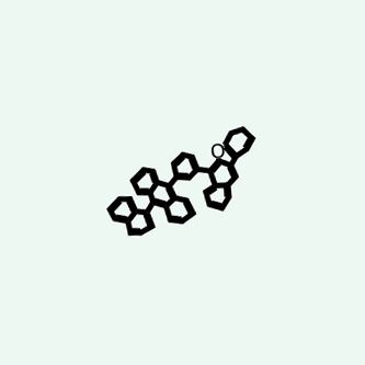 C1=Cc2c(oc3c(-c4cccc(-c5c6ccccc6c(-c6cccc7ccccc67)c6ccccc56)c4)c4ccccc4cc23)CC1